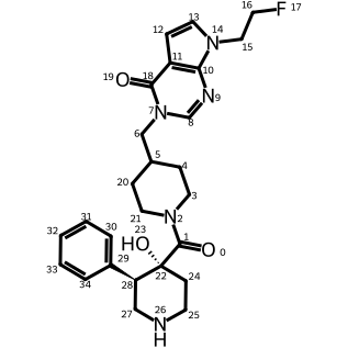 O=C(N1CCC(Cn2cnc3c(ccn3CCF)c2=O)CC1)[C@@]1(O)CCNC[C@H]1c1ccccc1